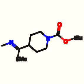 C/N=C(\SC)C1CCN(C(=O)OC(C)(C)C)CC1